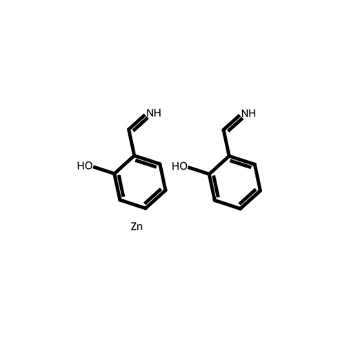 N=Cc1ccccc1O.N=Cc1ccccc1O.[Zn]